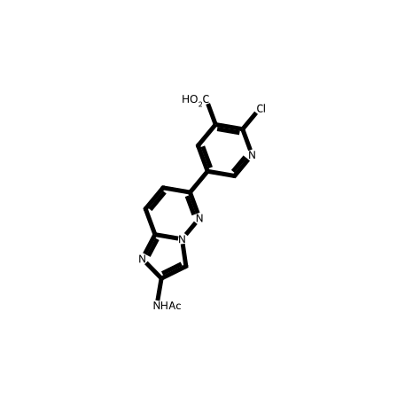 CC(=O)Nc1cn2nc(-c3cnc(Cl)c(C(=O)O)c3)ccc2n1